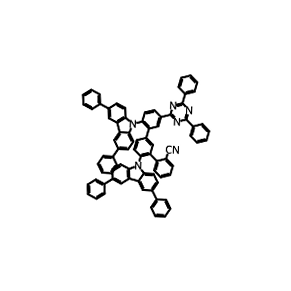 N#Cc1ccccc1-c1cc(-c2cc(-c3nc(-c4ccccc4)nc(-c4ccccc4)n3)ccc2-n2c3ccc(-c4ccccc4)cc3c3cc(-c4ccccc4)ccc32)ccc1-n1c2ccc(-c3ccccc3)cc2c2cc(-c3ccccc3)ccc21